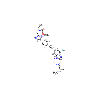 CC(C)CN(Cc1ncc(-c2ccc(C#Cc3cc(F)c4nc(CNC5CC5C)[nH]c4c3)cc2)[nH]1)C(=O)OC(C)(C)C